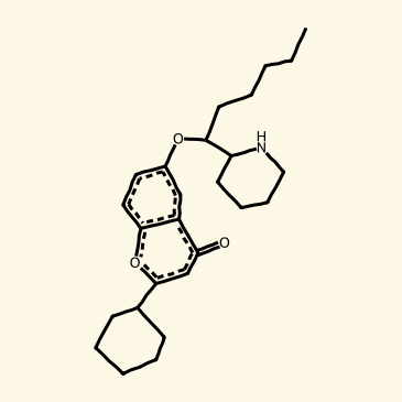 CCCCCC(Oc1ccc2oc(C3CCCCC3)cc(=O)c2c1)C1CCCCN1